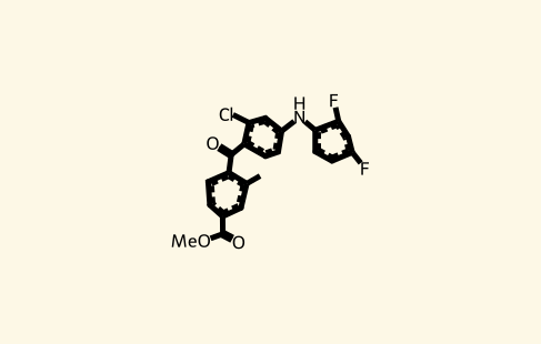 COC(=O)c1ccc(C(=O)c2ccc(Nc3ccc(F)cc3F)cc2Cl)c(C)c1